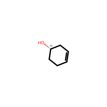 O[C@@H]1CC=[C]CC1